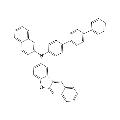 c1ccc(-c2ccc(-c3ccc(N(c4ccc5ccccc5c4)c4ccc5oc6cc7ccccc7cc6c5c4)cc3)cc2)cc1